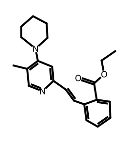 CCOC(=O)c1ccccc1C=Cc1cc(N2CCCCC2)c(C)cn1